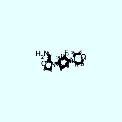 NCC1OCCN1c1ccc(N2CCOCC2)c(F)c1